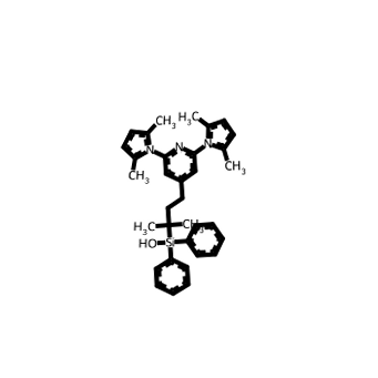 Cc1ccc(C)n1-c1cc(CCC(C)(C)[Si](O)(c2ccccc2)c2ccccc2)cc(-n2c(C)ccc2C)n1